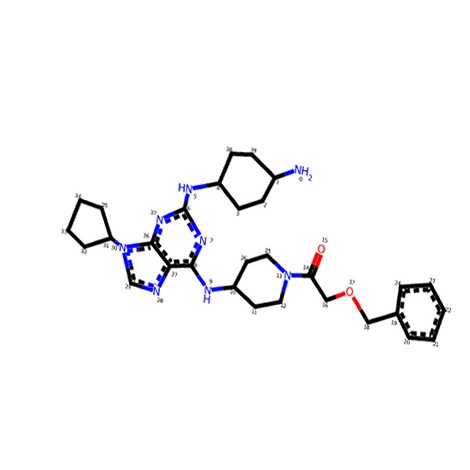 NC1CCC(Nc2nc(NC3CCN(C(=O)COCc4ccccc4)CC3)c3ncn(C4CCCC4)c3n2)CC1